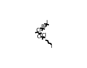 C=C(Cl)C(C)Cl.CC(C)(C)Br.CC(C)(C)Cl.CC(C)(C)I.CCCCI